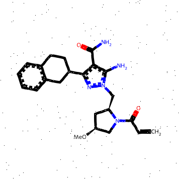 C=CC(=O)N1C[C@@H](OC)C[C@H]1Cn1nc(C2CCc3ccccc3C2)c(C(N)=O)c1N